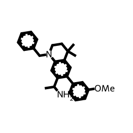 COc1cccc(-c2cc3c(cc2C(C)N)N(Cc2ccccc2)CCC3(C)C)c1